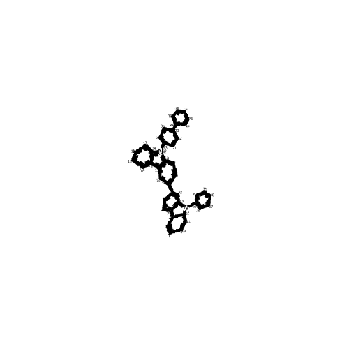 C1=CC2c3ccc(-c4ccc5c(c4)c4ccccc4n5-c4ccc(-c5ccccc5)cc4)cc3N(c3ccccc3)C2C=C1